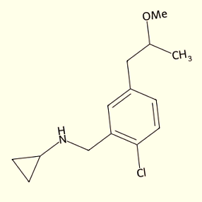 COC(C)Cc1ccc(Cl)c(CNC2CC2)c1